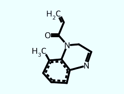 C=CC(=O)N1CC=Nc2cccc(C)c21